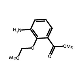 COCOc1c(N)cccc1C(=O)OC